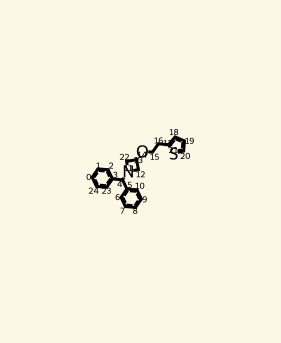 c1ccc(C(c2ccccc2)N2CC(OCCc3cccs3)C2)cc1